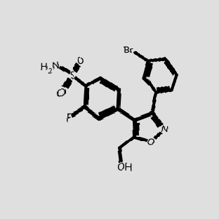 NS(=O)(=O)c1ccc(-c2c(-c3cccc(Br)c3)noc2CO)cc1F